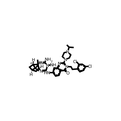 CC(C)N1CCN(c2nc3cc(NC(=N[C@H]4C[C@H]5C[C@H]([C@H]4C)C5(C)C)N(N)C(=N)N)ccc3c(=O)n2CCc2ccc(Cl)cc2Cl)CC1